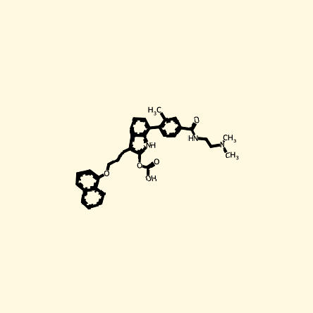 Cc1cc(C(=O)NCCN(C)C)ccc1-c1cccc2c(CCCOc3cccc4ccccc34)c(OC(=O)O)[nH]c12